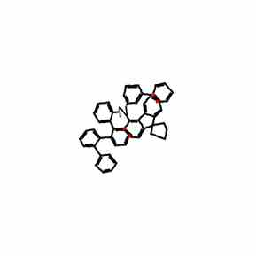 c1ccc(-c2cccc(N(c3ccccc3-c3ccccc3-c3ccccc3-c3ccccc3)c3cccc4c3-c3ccccc3C43CCCC3)c2)cc1